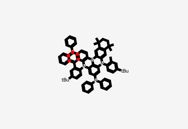 Cc1cc(C(C)(C)C)ccc1N1c2cc3c(cc2B2c4ccc(N(c5ccccc5)c5ccccc5)cc4N(c4ccc(C(C)(C)C)cc4-c4ccccc4)c4cc(N(c5ccccc5)c5ccccc5)cc1c42)C(C)(C)CCC3(C)C